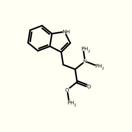 O=C(OP)C(Cc1c[nH]c2ccccc12)N(P)P